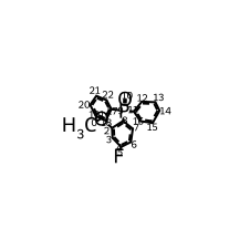 COc1cc(F)ccc1P(=O)(c1ccccc1)c1ccccc1